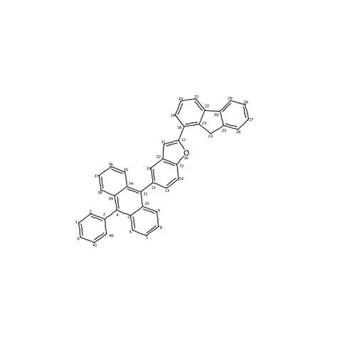 c1ccc(-c2c3ccccc3c(-c3ccc4oc(-c5cccc6c5Cc5ccccc5-6)cc4c3)c3ccccc23)cc1